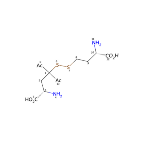 CC(=O)C(C[C@H](N)C(=O)O)(SSCC[C@H](N)C(=O)O)C(C)=O